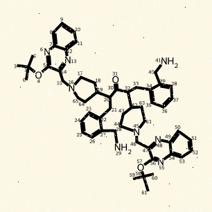 CC(C)(C)Oc1nc2ccccc2nc1CN1CCC(C(Cc2ccccc2CN)C(=O)C(Cc2ccccc2CN)C2CCN(Cc3nc4ccccc4nc3OC(C)(C)C)CC2)CC1